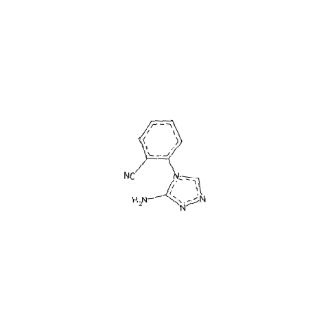 N#Cc1ccccc1-n1cnnc1N